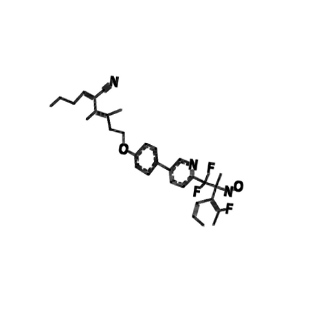 C/C=C\C(=C(/C)F)C(C)(N=O)C(F)(F)c1ccc(-c2ccc(OCC/C(C)=C(C)/C(C#N)=C\CCC)cc2)cn1